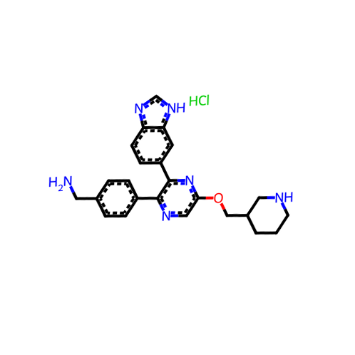 Cl.NCc1ccc(-c2ncc(OCC3CCCNC3)nc2-c2ccc3nc[nH]c3c2)cc1